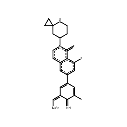 CN/C=C1/C=C(c2cc(F)c3c(=O)n(C4CCNC5(CC5)C4)ccc3c2)C=C(C)C1=N